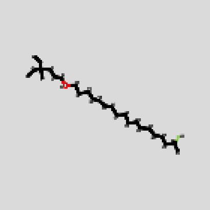 CCC(C)(CC)CCCOCCCCCCCCCCCCCCCCC(C)F